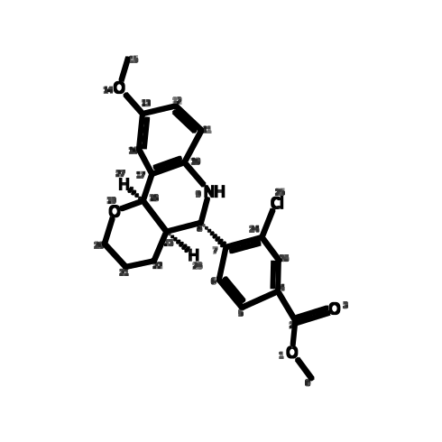 COC(=O)c1ccc([C@H]2Nc3ccc(OC)cc3[C@@H]3OCCC[C@H]23)c(Cl)c1